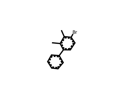 Cc1c(Br)ccc(-c2ccccc2)c1C